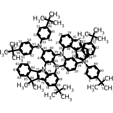 CC(C)(C)c1ccc(N(c2ccc(C(C)(C)C)cc2)c2ccc3c(c2)N(c2cccc4sc5ccccc5c24)c2cc(N(c4ccc(C(C)(C)C)cc4)c4ccc(C(C)(C)C)cc4)cc4c2B3c2cc(C(C)(C)C)cc3c5c(n-4c23)-c2ccccc2C5(C)C)cc1